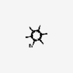 Cc1c(C)c(C)c(Br)c(C)c1C